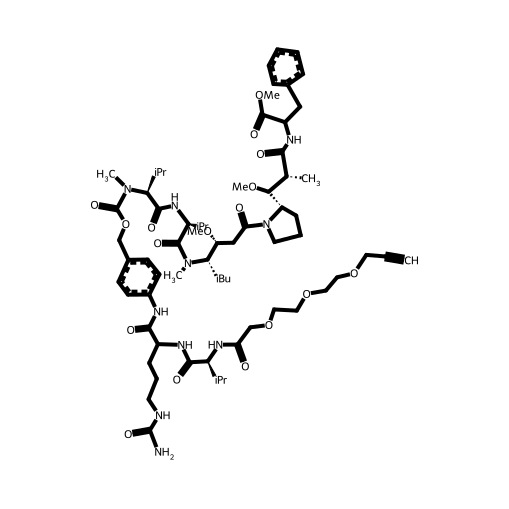 C#CCOCCOCCOCC(=O)N[C@H](C(=O)NC(CCCNC(N)=O)C(=O)Nc1ccc(COC(=O)N(C)[C@H](C(=O)N[C@H](C(=O)N(C)[C@@H](C(C)CC)[C@@H](CC(=O)N2CCC[C@H]2C(OC)[C@@H](C)C(=O)NC(Cc2ccccc2)C(=O)OC)OC)C(C)C)C(C)C)cc1)C(C)C